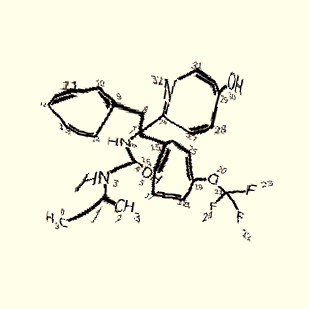 CC(C)N[C@H](O)NC(Cc1ccccc1)(c1cccc(OC(F)(F)F)c1)c1ccc(O)cn1